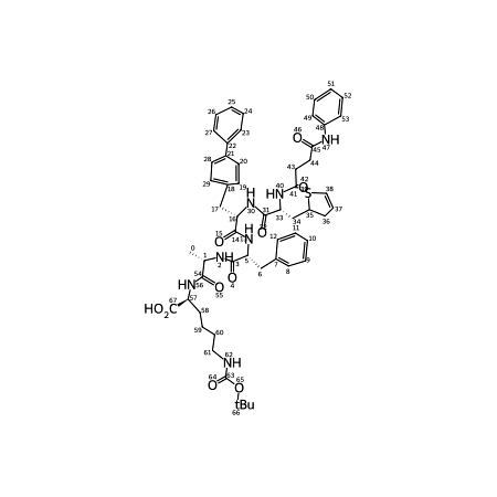 C[C@H](NC(=O)[C@@H](Cc1ccccc1)NC(=O)[C@H](Cc1ccc(-c2ccccc2)cc1)NC(=O)[C@@H](CC1CC=CS1)NC(=O)CCC(=O)Nc1ccccc1)C(=O)N[C@@H](CCCCNC(=O)OC(C)(C)C)C(=O)O